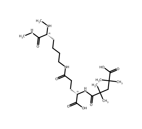 CN[C@H](CCCCNC(=O)CC[C@H](NC(=O)C(C)(C)CC(C)(C)C(=O)O)C(=O)O)C(=O)PC